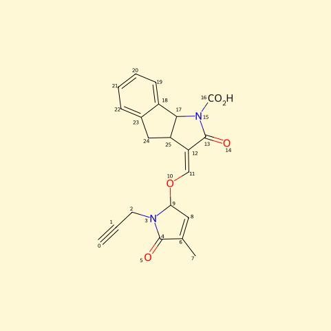 C#CCN1C(=O)C(C)=CC1O/C=C1/C(=O)N(C(=O)O)C2c3ccccc3CC12